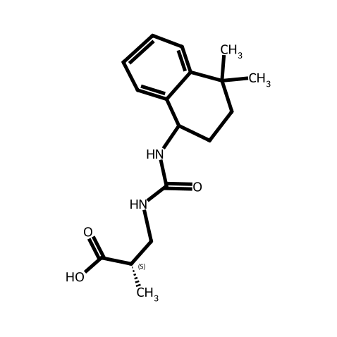 C[C@@H](CNC(=O)NC1CCC(C)(C)c2ccccc21)C(=O)O